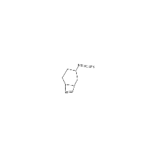 S=C=NC1CCC2C=CC2C1